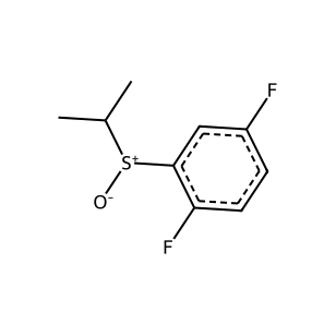 CC(C)[S+]([O-])c1cc(F)ccc1F